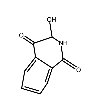 O=C1NC(O)C(=O)c2ccccc21